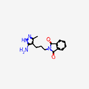 Cc1n[nH]c(N)c1CCCN1C(=O)c2ccccc2C1=O